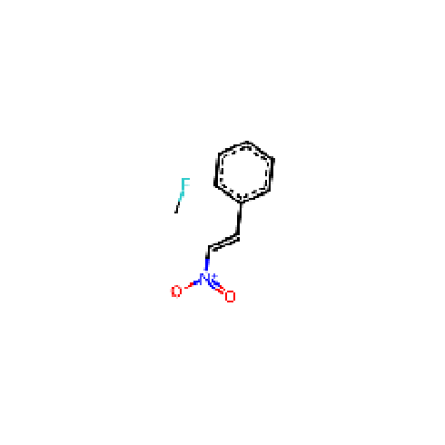 CF.O=[N+]([O-])C=Cc1ccccc1